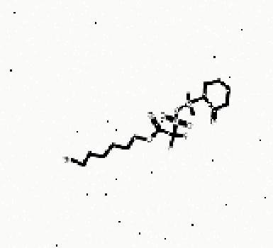 CS(C)(OS(=O)(=O)C(F)(F)C(=O)OCCCCCCBr)C1CCCCC1=O